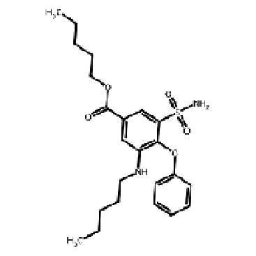 CCCCCNc1cc(C(=O)OCCCCC)cc(S(N)(=O)=O)c1Oc1ccccc1